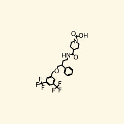 O=C(NCCC(COCc1cc(C(F)(F)F)cc(C(F)(F)F)c1)c1ccccc1)C1CCN(C(=O)O)CC1